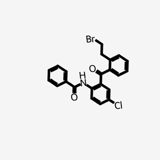 O=C(Nc1ccc(Cl)cc1C(=O)c1ccccc1CCBr)c1ccccc1